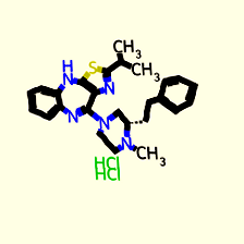 CC(C)c1nc2c(s1)Nc1ccccc1N=C2N1CCN(C)[C@@H](CCc2ccccc2)C1.Cl.Cl